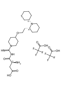 N=C(NC(=O)[C@@H](N)CC(=O)O)N1CCC(OCC[C@H]2CCCCN2[C@H]2CCCSC2)CC1.O=C(O)C(F)(F)F.O=C(O)C(F)(F)F